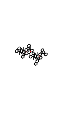 c1ccc(-n2c3ccccc3c3cc(-c4nc5oc6ccccc6c5nc4-n4c5ccccc5c5cc6c(-c7cccc8c7sc7nc(-c9ccc%10c(c9)c9ccccc9n%10-c9ccccc9)c(-n9c%10ccccc%10c%10cc%11ccccc%11cc%109)nc78)cccc6cc54)ccc32)cc1